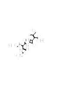 CO/N=C(/C(=O)N[C@@H]1C(=O)C2C(C(=O)O)=C(CS)CS[C@@H]21)c1csc(N)n1